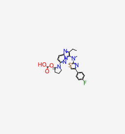 CCc1nc2ccc(N3CCC[C@@H]3OC(=O)O)nn2c1N(C)c1nc(-c2ccc(F)cc2)cs1